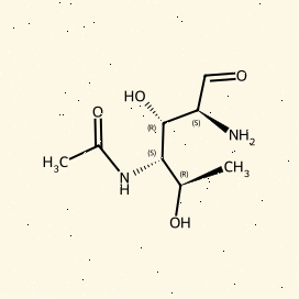 CC(=O)N[C@H]([C@H](O)[C@H](N)C=O)[C@@H](C)O